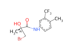 Cc1ccc(NC(=O)[C@@](C)(O)CBr)cc1C(F)(F)F